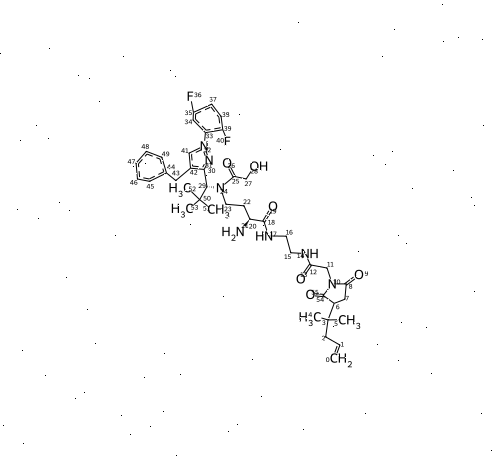 C=CCC(C)(C)C1CC(=O)N(CC(=O)NCCNC(=O)[C@@H](N)CCN(C(=O)CO)[C@@H](c2nn(-c3cc(F)ccc3F)cc2Cc2ccccc2)C(C)(C)C)C1=O